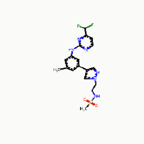 Cc1cc(Nc2nccc(C(F)F)n2)cc(-c2cnn(CCNS(C)(=O)=O)c2)c1